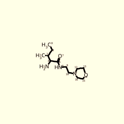 CC[C@H](C)C(N)C(=O)NCCN1CCOCC1